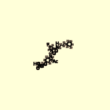 CC(=O)c1cn(CC(=O)N2C[C@H](F)C[C@H]2C(=O)NCCCCc2ccccc2)c2ccc(OCO[PH](=O)O)cc12